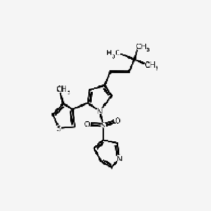 Cc1cscc1-c1cc(CCC(C)(C)C)cn1S(=O)(=O)c1cccnc1